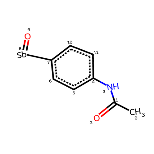 CC(=O)Nc1cc[c]([Sb]=[O])cc1